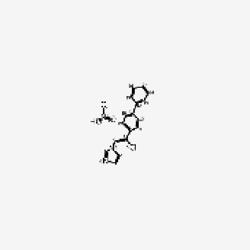 ClC(=Cn1ccnc1)c1ccc(-c2ccccc2)cc1.O=[N+]([O-])O